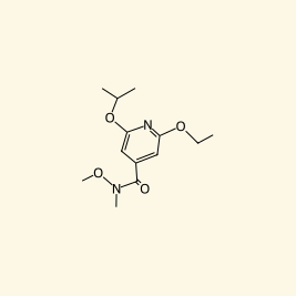 CCOc1cc(C(=O)N(C)OC)cc(OC(C)C)n1